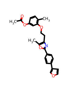 CC(=O)Oc1ccc(C)c(OCCc2nc(-c3ccc(-c4ccoc4)cc3)oc2C)c1